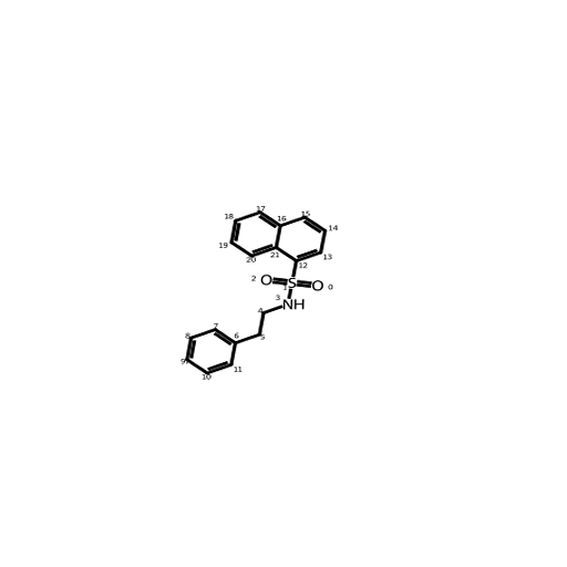 O=S(=O)(NCCc1cc[c]cc1)c1cccc2ccccc12